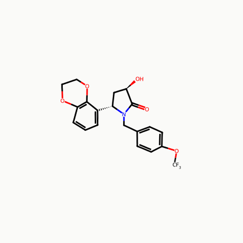 O=C1[C@H](O)C[C@@H](c2cccc3c2OCCO3)N1Cc1ccc(OC(F)(F)F)cc1